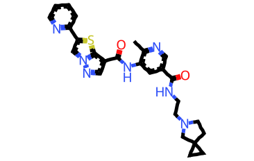 Cc1ncc(C(=O)NCCN2CCC3(CC3)C2)cc1NC(=O)c1cnn2cc(-c3ccccn3)sc12